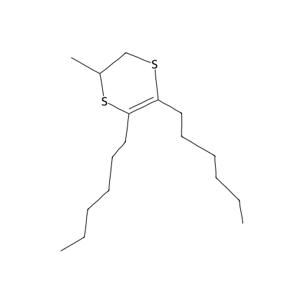 CCCCCCC1=C(CCCCCC)SC(C)CS1